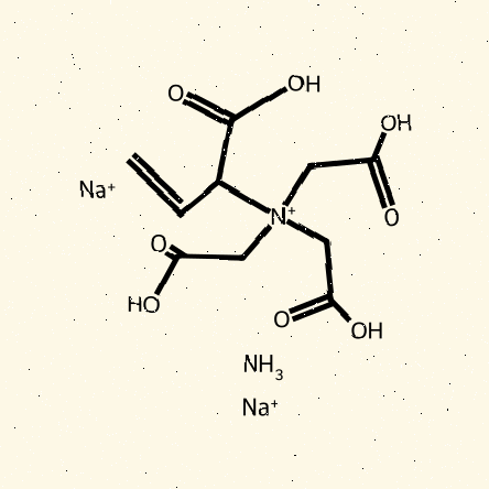 C=CC(C(=O)O)[N+](CC(=O)O)(CC(=O)O)CC(=O)O.N.[Na+].[Na+]